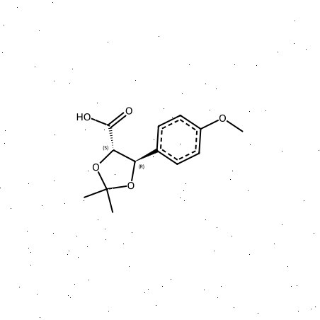 COc1ccc([C@H]2OC(C)(C)O[C@@H]2C(=O)O)cc1